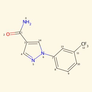 NC(=O)c1cnn(-c2cccc(C(F)(F)F)c2)c1